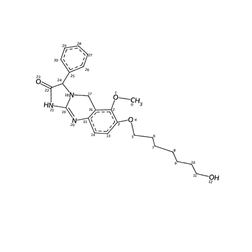 COc1c(OCCCCCCCO)ccc2c1CN1C(=N2)NC(=O)C1c1ccccc1